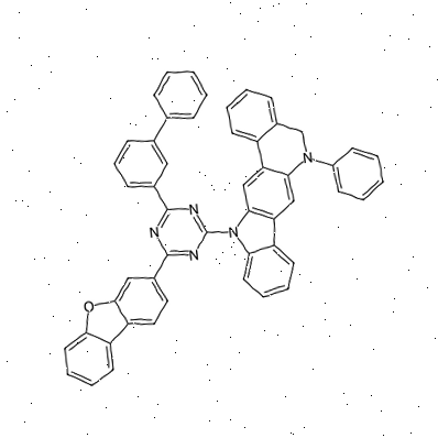 c1ccc(-c2cccc(-c3nc(-c4ccc5c(c4)oc4ccccc45)nc(-n4c5ccccc5c5cc6c(cc54)-c4ccccc4CN6c4ccccc4)n3)c2)cc1